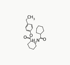 CCc1ccc(OC(=O)C2CCCCC2)cc1.NC(=O)C1CCCCC1